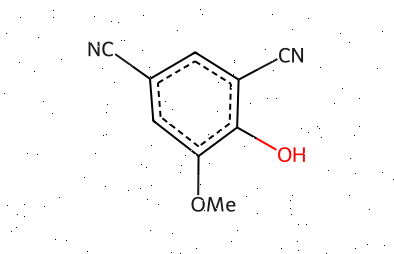 COc1cc(C#N)cc(C#N)c1O